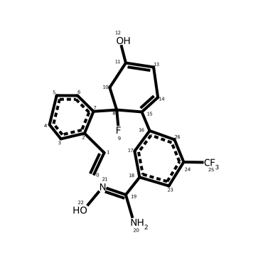 C=Cc1ccccc1C1(F)CC(O)=CC=C1c1cc(C(N)=NO)cc(C(F)(F)F)c1